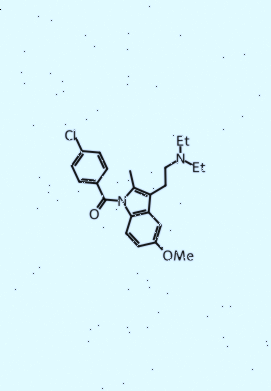 CCN(CC)CCc1c(C)n(C(=O)c2ccc(Cl)cc2)c2ccc(OC)cc12